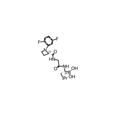 CC(C)C[C@H](NC(=O)CNC(=O)[C@@H]1CCN1c1cc(F)ccc1F)B(O)O